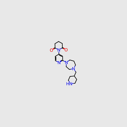 O=C1CCCC(=O)N1c1ccnc(N2CCCN(CC3CCNCC3)CC2)c1